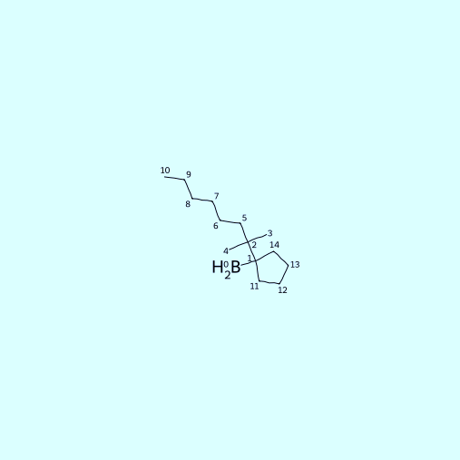 BC1(C(C)(C)CCCCCC)CCCC1